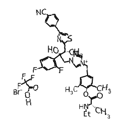 CCN[C@@H](C)C(=O)Oc1c(C)cc(C[n+]2cnn(C[C@](O)(c3ccc(F)cc3F)[C@@H](C)c3nc(-c4ccc(C#N)cc4)cs3)c2)cc1C.O=C(O)C(F)(F)F.[Br-]